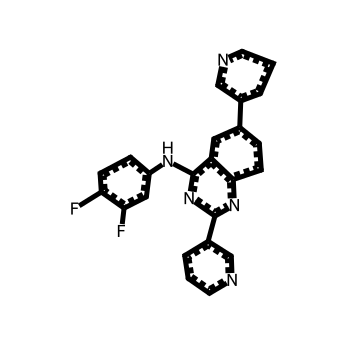 Fc1ccc(Nc2nc(-c3cccnc3)nc3ccc(-c4cccnc4)cc23)cc1F